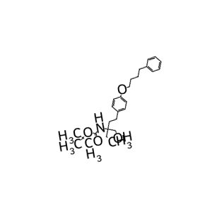 CCC(CO)(CCc1ccc(OCCCCc2ccccc2)cc1)NC(=O)OC(C)(C)C